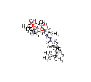 C=C1CC[C@H](OC(=O)C(C)(COC(C)O)COC(C)(C)C)C/C1=C/C=C1\CCC[C@@]2(C)C1CCC2[C@H](C)/C=C/[C@H](C)C(C)C